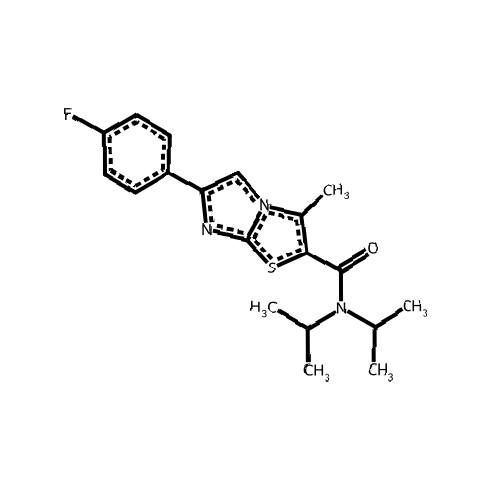 Cc1c(C(=O)N(C(C)C)C(C)C)sc2nc(-c3ccc(F)cc3)cn12